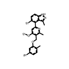 CCOc1cc(-c2c(CC)ccc3[nH]nc(C)c23)nc(C)c1COc1cc(C(C)C)ccc1C